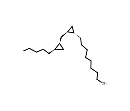 CCCCC[C@@H]1C[C@@H]1C[C@H]1C[C@@H]1CCCCCCCCO